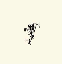 CC(C)[C@@H]1C(=O)N(S(C)(=O)=O)C2=CCN(C(=O)c3csc(CNC4CC4)n3)[C@H]21